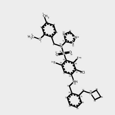 COc1cc(C)ccc1CN(c1ncns1)S(=O)(=O)c1c(F)cc(NCc2ccccc2CN2CCC2)c(Cl)c1F